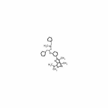 Cc1nnc(N(C)C)c2nn(-c3cccc(OC(Cc4ccccc4)CN(C)Cc4ccccc4)c3)c(C)c12